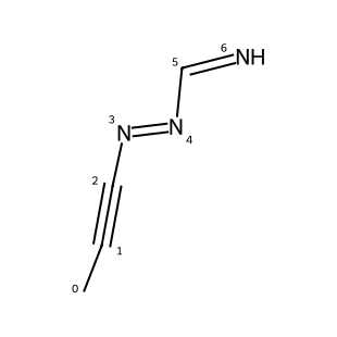 CC#CN=NC=N